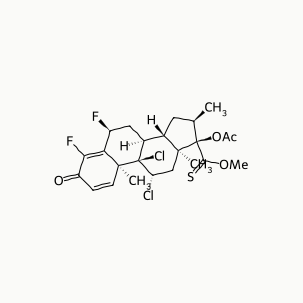 COC(=S)[C@@]1(OC(C)=O)[C@H](C)C[C@H]2[C@@H]3C[C@H](F)C4=C(F)C(=O)C=C[C@]4(C)[C@@]3(Cl)[C@@H](Cl)C[C@@]21C